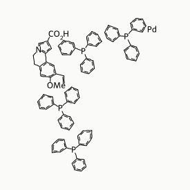 C=Cc1cc2c(cc1OC)CCn1cc(C(=O)O)cc1-2.[Pd].c1ccc(P(c2ccccc2)c2ccccc2)cc1.c1ccc(P(c2ccccc2)c2ccccc2)cc1.c1ccc(P(c2ccccc2)c2ccccc2)cc1.c1ccc(P(c2ccccc2)c2ccccc2)cc1